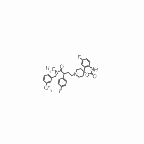 CN(Cc1cccc(C(F)(F)F)c1)C(=O)C(CCN1CCC2(CC1)OC(=O)Nc1ccc(F)cc12)c1ccc(F)cc1